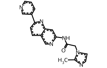 Cc1nccn1CC(=O)Nc1cc2nc(-c3cccnc3)ccc2cn1